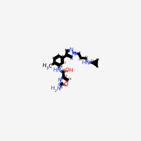 Cc1ccc(-c2cnn(CCCNC3CC3)c2)cc1NC(O)c1coc(N)n1